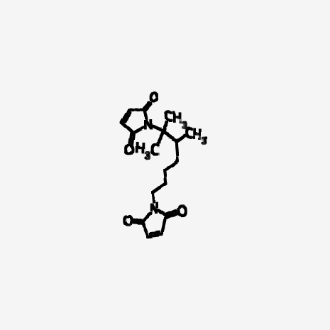 CC(CCCCN1C(=O)C=CC1=O)C(C)(C)N1C(=O)C=CC1=O